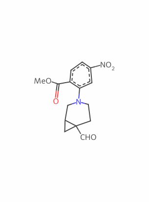 COC(=O)c1ccc([N+](=O)[O-])cc1N1CCC2(C=O)CC2C1